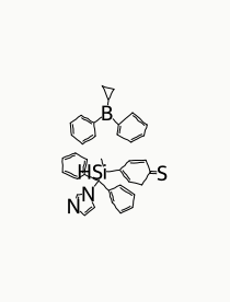 C[SiH](C1=CCC(=S)C=C1)C(c1ccccc1)(c1ccccc1)n1ccnc1.c1ccc(B(c2ccccc2)C2CC2)cc1